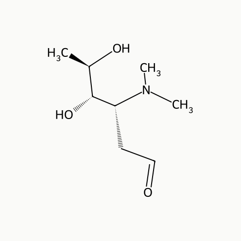 C[C@@H](O)[C@@H](O)[C@@H](CC=O)N(C)C